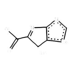 O=C([O-])C1=Nc2nc[se]c2C1.[Li+]